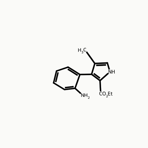 CCOC(=O)c1[nH]cc(C)c1-c1ccccc1N